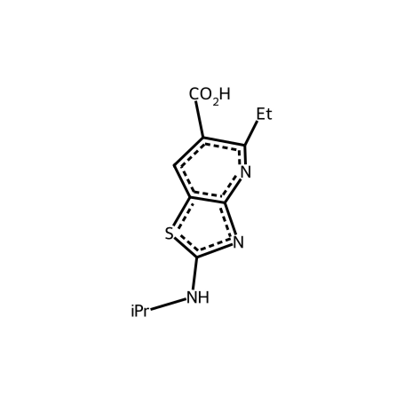 CCc1nc2nc(NC(C)C)sc2cc1C(=O)O